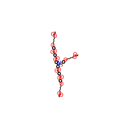 C=CC(=O)OCCCCCCOc1ccc(OC(=O)c2ccc(C(=O)Oc3ccc4c(c3)nc(Sc3ccc(OCCCCCCOC(=O)C=C)cc3)c3cc(OC(=O)c5ccc(C(=O)Oc6ccc(OCCCCCCOC(=O)C=C)cc6)cc5)ccc34)cc2)cc1